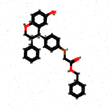 O=C(CSc1ccc([C@H]2c3cc(O)ccc3OC[C@H]2c2ccccc2)cc1)OCc1ccccc1